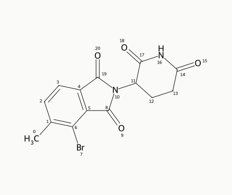 Cc1ccc2c(c1Br)C(=O)N(C1CCC(=O)NC1=O)C2=O